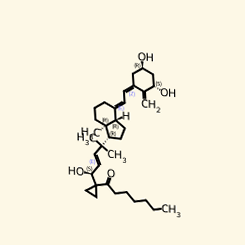 C=C1/C(=C\C=C2/CCC[C@]3(C)[C@@H](C(C)(C)/C=C/[C@H](O)C4(C(=O)CCCCCC)CC4)CC[C@@H]23)C[C@@H](O)C[C@@H]1O